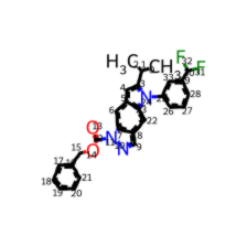 CC(C)c1cc2cc3c(cnn3C(=O)OCc3ccccc3)cc2n1-c1cccc(C(F)F)c1